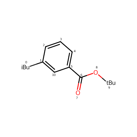 CCC(C)c1cccc(C(=O)OC(C)(C)C)c1